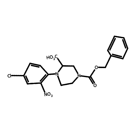 O=C(O)C1CN(C(=O)OCc2ccccc2)CCN1c1ccc(Cl)cc1[N+](=O)[O-]